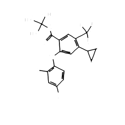 Cc1cc(F)ccc1Oc1cc(C2CC2)c(C(F)(F)F)cc1C(=O)OC(C)(C)C